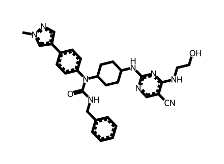 Cn1cc(-c2ccc(N(C(=O)NCc3ccccc3)C3CCC(Nc4ncc(C#N)c(NCCO)n4)CC3)cc2)cn1